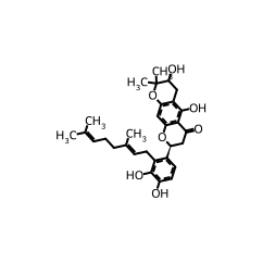 CC(C)=CCC/C(C)=C/Cc1c([C@@H]2CC(=O)c3c(cc4c(c3O)CC(O)C(C)(C)O4)O2)ccc(O)c1O